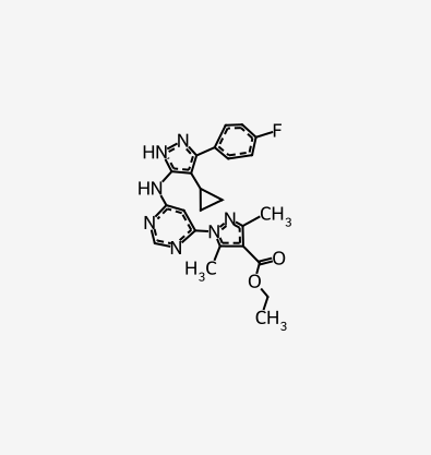 CCOC(=O)c1c(C)nn(-c2cc(Nc3[nH]nc(-c4ccc(F)cc4)c3C3CC3)ncn2)c1C